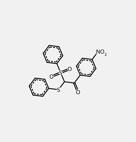 O=C(c1ccc([N+](=O)[O-])cc1)C(Sc1ccccc1)S(=O)(=O)c1ccccc1